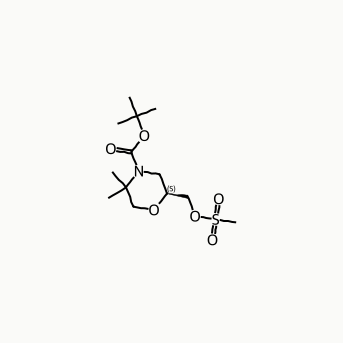 CC(C)(C)OC(=O)N1C[C@@H](COS(C)(=O)=O)OCC1(C)C